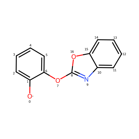 [O]c1ccccc1Oc1nc2ccccc2o1